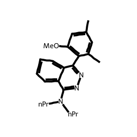 CCCN(CCC)c1nnc(-c2c(C)cc(C)cc2OC)c2ccccc12